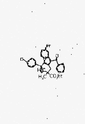 CCOC(=O)C(C)(C)Cc1c(C(=O)c2ccccc2)c2cc(C(C)C)ccn2c1C(=O)c1ccc(Cl)cc1